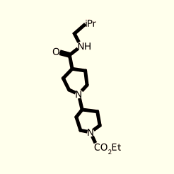 CCOC(=O)N1CCC(N2CCC(C(=O)NCC(C)C)CC2)CC1